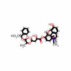 CC(OC(=O)CC(O)C(=O)OC1=CC[C@@]2(O)[C@H]3Cc4ccc(O)c5c4[C@@]2(CCN3C)[C@H]1O5)C(=O)O[C@H](C(=O)O)c1ccccc1